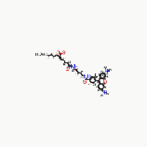 CCCCCCCCCCCCCC1OC(=O)C1=CCCCC(=O)NCCCCCNC(=O)c1ccc(-c2c3ccc(=[N+](C)C)cc-3oc3cc(N(C)C)ccc23)c(C(=O)[O-])c1